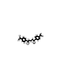 CC(C)c1ccc(C(=O)CCCC(=O)c2ccc(C(C)C)cc2)cc1